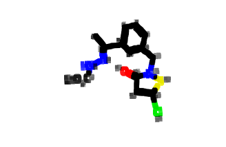 CCOC(=O)NN=C(C)c1cccc(Cn2sc(Cl)cc2=O)c1